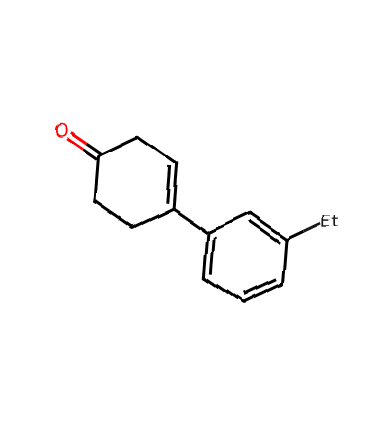 CCc1cccc(C2=CCC(=O)CC2)c1